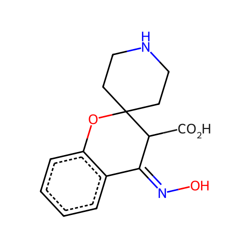 O=C(O)C1/C(=N\O)c2ccccc2OC12CCNCC2